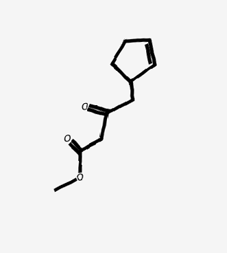 COC(=O)CC(=O)CC1C=CCC1